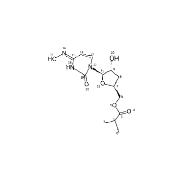 CC(C)C(=O)OC[C@@H]1C[C@@H](O)[C@H](n2cc/c(=N/O)[nH]c2=O)O1